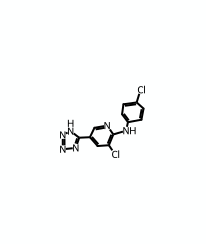 Clc1ccc(Nc2ncc(-c3nnn[nH]3)cc2Cl)cc1